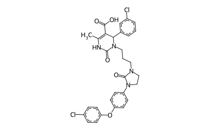 CC1=C(C(=O)O)C(c2cccc(Cl)c2)N(CCCN2CCN(c3ccc(Oc4ccc(Cl)cc4)cc3)C2=O)C(=O)N1